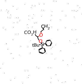 C=CCOC(CO[Si](c1ccccc1)(c1ccccc1)C(C)(C)C)CC(=O)O